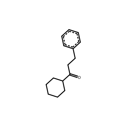 O=C(CCc1ccccc1)C1CCCCC1